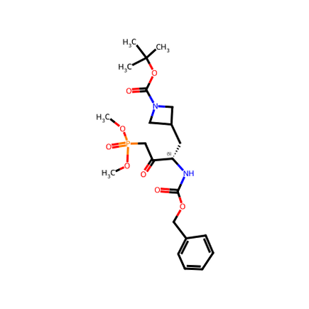 COP(=O)(CC(=O)[C@H](CC1CN(C(=O)OC(C)(C)C)C1)NC(=O)OCc1ccccc1)OC